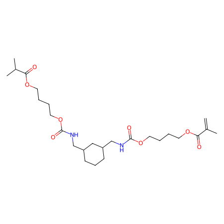 C=C(C)C(=O)OCCCCOC(=O)NCC1CCCC(CNC(=O)OCCCCOC(=O)C(C)C)C1